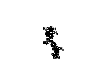 COC(=O)Nc1nc(C)c(S(=O)(=O)N2CCN(C[C@H](C)Nc3ncnc4c(-c5c(C)n[nH]c5C)cccc34)CC2)s1.Cl